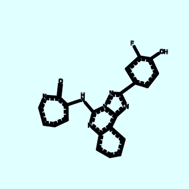 O=c1nccccc1Nc1nc2ccccc2c2nc(-c3ccc(O)c(F)c3)nn12